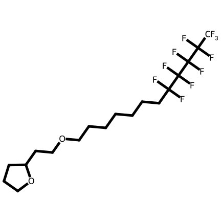 FC(F)(F)C(F)(F)C(F)(F)C(F)(F)C(F)(F)CCCCCCCOCCC1CCCO1